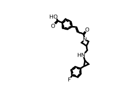 O=C(O)c1ccc(/C=C/C(=O)N2CC(CNC3CC3c3ccc(F)cc3)C2)cc1